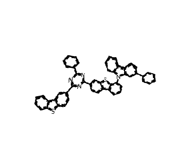 c1ccc(-c2ccc3c4ccccc4n(-c4cccc5c4sc4cc(-c6nc(-c7ccccc7)nc(-c7ccc8sc9ccccc9c8c7)n6)ccc45)c3c2)cc1